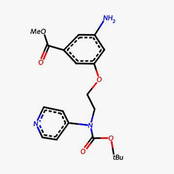 COC(=O)c1cc(N)cc(OCCN(C(=O)OC(C)(C)C)c2ccncc2)c1